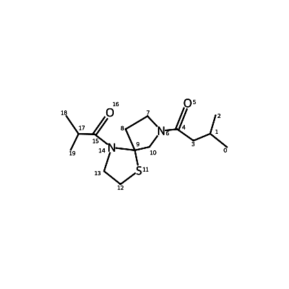 CC(C)CC(=O)N1CCC2(C1)SCCN2C(=O)C(C)C